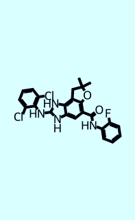 CC1(C)Cc2c3c(cc(C(=O)Nc4ccccc4F)c2O1)NC(Nc1c(Cl)cccc1Cl)N3